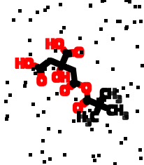 CC(C)(C)C(=O)OC(=O)CC(O)(CC(=O)O)C(=O)O